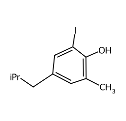 Cc1cc(CC(C)C)cc(I)c1O